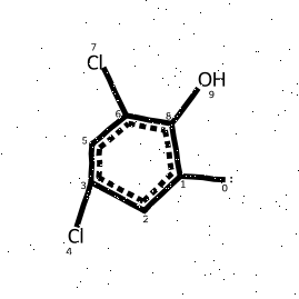 [CH]c1cc(Cl)cc(Cl)c1O